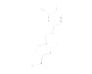 O=C(O)c1ccc(CNc2ccc(F)c(Br)c2)c(F)c1